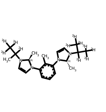 [2H]C([2H])([2H])C([2H])(C)N1C=CN(c2cccc(N3C=CN(C([2H])(C([2H])([2H])[2H])C([2H])([2H])[2H])[C@@H]3C)c2C)[C@@H]1C